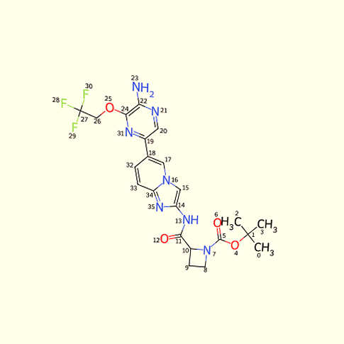 CC(C)(C)OC(=O)N1CCC1C(=O)Nc1cn2cc(-c3cnc(N)c(OCC(F)(F)F)n3)ccc2n1